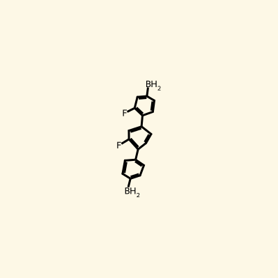 Bc1ccc(-c2ccc(-c3ccc(B)cc3F)cc2F)cc1